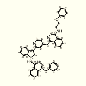 c1ccc(OCCNc2nnc(Cc3ccnc(C4CC(Nc5nnc(Cc6ccncc6)c6ccccc56)c5ccccc54)c3)c3ccccc23)cc1